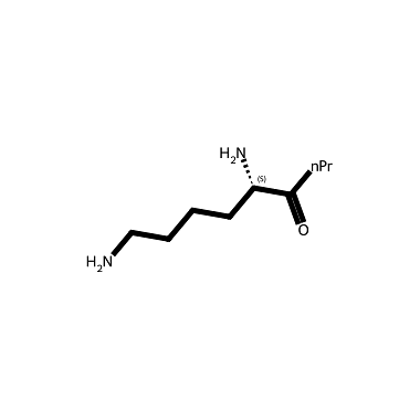 CCCC(=O)[C@@H](N)CCCCN